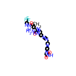 Cc1cc(-c2nn3c(c2C(N)=O)Nc2ccc(N4CCN(CC5CCN(c6ccc(N7CCC(=O)NC7=O)cc6)CC5)CC4)cc2CC3)ccc1C(=O)Nc1cc(C(F)(F)F)ccn1